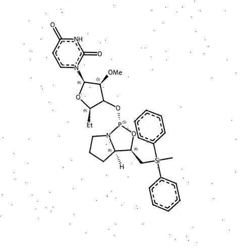 CC[C@H]1O[C@@H](n2ccc(=O)[nH]c2=O)[C@@H](OC)C1O[P@]1O[C@@H](C[Si](C)(c2ccccc2)c2ccccc2)[C@H]2CCCN21